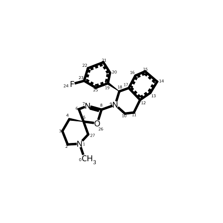 CN1CCC[C@]2(CN=C(N3CCc4ccccc4[C@@H]3c3cccc(F)c3)O2)C1